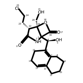 O=C1NC2([C@@H](O)C3=C4CCCCC4=CCC3)C(=O)O[C@]2(CO)[C@H]1CCCl